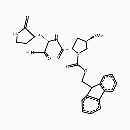 CS[C@@H]1C[C@@H](C(=O)N[C@@H](C[C@@H]2CCNC2=O)C(N)=O)N(C(=O)OCC2c3ccccc3-c3ccccc32)C1